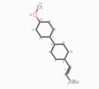 CCCC/C=C/C1CCC(C2CCC(OCC)CC2)CC1